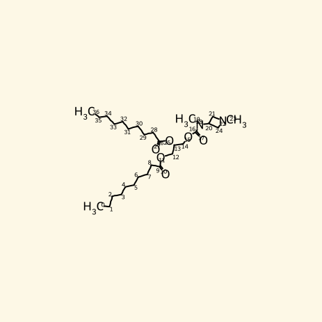 CCCCCCCCCC(=O)OCC(COC(=O)N(C)C1CN(C)C1)OC(=O)CCCCCCCCC